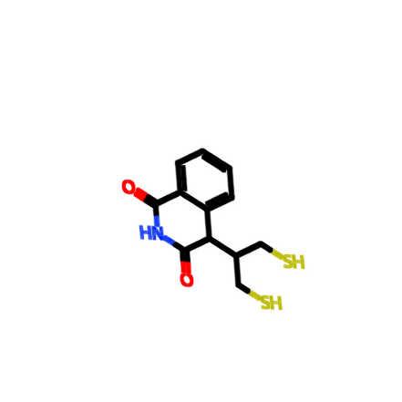 O=C1NC(=O)C(C(CS)CS)c2ccccc21